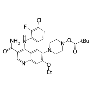 CCOc1cc2ncc(C(N)=O)c(Nc3cccc(Cl)c3F)c2cc1N1CCN(OC(=O)C(C)(C)C)CC1